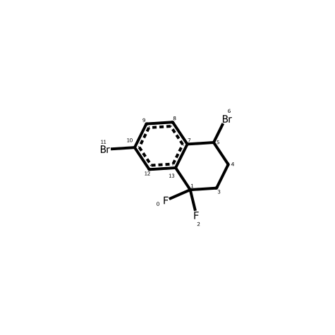 FC1(F)CCC(Br)c2ccc(Br)cc21